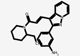 CCC1CCCCN1C(=O)/C=C/c1c(-c2cccc(N)c2)nn2ccccc12